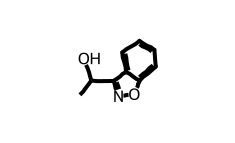 CC(O)c1noc2ccccc12